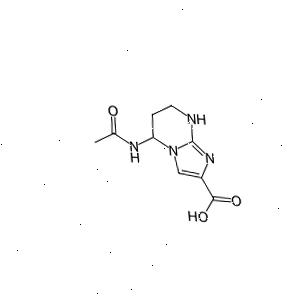 CC(=O)NC1CCNc2nc(C(=O)O)cn21